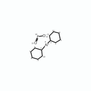 C1CC[CH]([Al+][CH]2CCCCC2)CC1.O=P[O-]